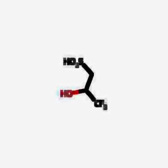 O=S(=O)(O)CC(O)C(F)(F)F